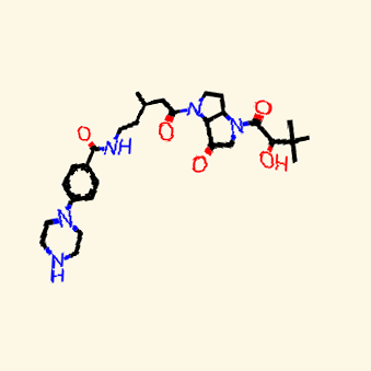 CC(CCNC(=O)c1ccc(N2CCNCC2)cc1)CC(=O)N1CCC2C1C(=O)CN2C(=O)C(O)C(C)(C)C